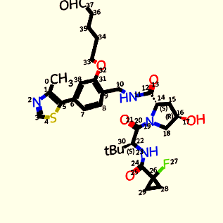 Cc1ncsc1-c1ccc(CNC(=O)[C@@H]2C[C@@H](O)CN2C(=O)[C@@H](NC(=O)C2(F)CC2)C(C)(C)C)c(OCCCCC=O)c1